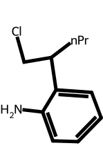 CCCC(CCl)c1ccccc1N